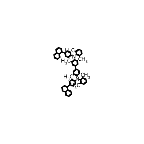 Cc1cc(-c2ccc(N(c3ccc(-c4cccc5ccccc45)cc3)c3c(C)cccc3C)c(C)c2)ccc1N(c1ccc(-c2cccc3ccccc23)cc1)c1c(C)cccc1C